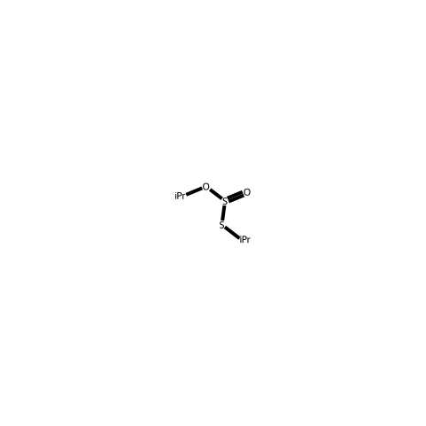 CC(C)OS(=O)SC(C)C